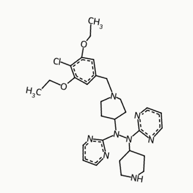 CCOc1cc(CN2CCC(N(c3ncccn3)N(c3ncccn3)C3CCNCC3)CC2)cc(OCC)c1Cl